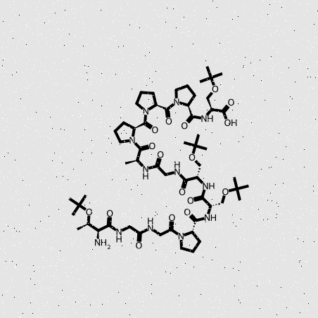 C[C@H](NC(=O)CNC(=O)[C@H](COC(C)(C)C)NC(=O)[C@H](COC(C)(C)C)NC(=O)[C@@H]1CCCN1C(=O)CNC(=O)CNC(=O)[C@@H](N)[C@@H](C)OC(C)(C)C)C(=O)N1CCC[C@H]1C(=O)N1CCC[C@H]1C(=O)N1CCC[C@H]1C(=O)N[C@@H](COC(C)(C)C)C(=O)O